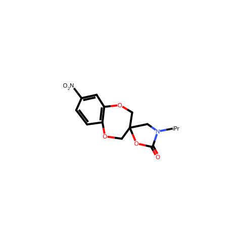 CC(C)N1CC2(COc3ccc([N+](=O)[O-])cc3OC2)OC1=O